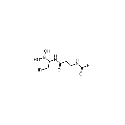 CCC(=O)NCCC(=O)NC(CC(C)C)B(O)O